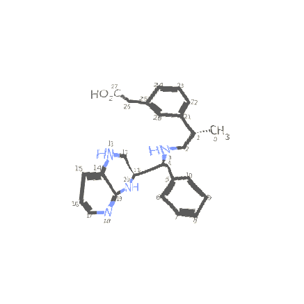 C[C@H](CN[C@@H](c1ccccc1)[C@@H]1CNc2cccnc2N1)c1cccc(CC(=O)O)c1